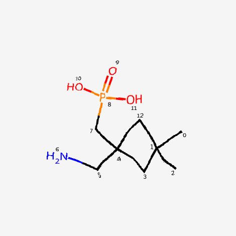 CC1(C)CC(CN)(CP(=O)(O)O)C1